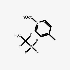 CCCCCCCC[n+]1ccc(C)cc1.F[B-](F)(F)C(F)(F)C(F)(F)F